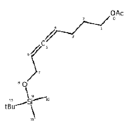 CC(=O)OCCCC=C=CCO[Si](C)(C)C(C)(C)C